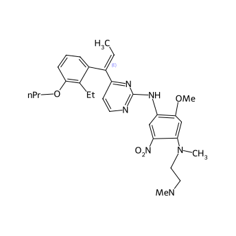 C/C=C(/c1ccnc(Nc2cc([N+](=O)[O-])c(N(C)CCNC)cc2OC)n1)c1cccc(OCCC)c1CC